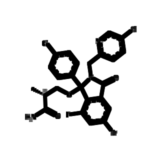 C[C@H](COC1(c2ccc(Cl)cc2)c2c(F)cc(Br)cc2C(=O)N1Cc1ccc(Cl)cn1)C(N)=O